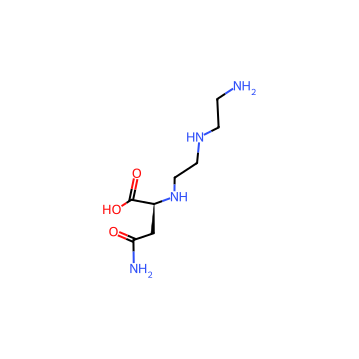 NCCNCCN[C@@H](CC(N)=O)C(=O)O